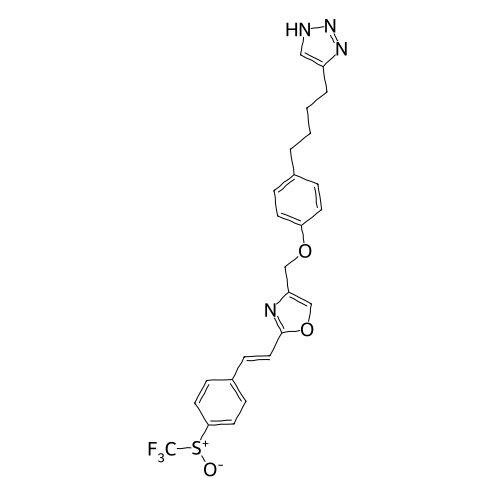 [O-][S+](c1ccc(/C=C/c2nc(COc3ccc(CCCCc4c[nH]nn4)cc3)co2)cc1)C(F)(F)F